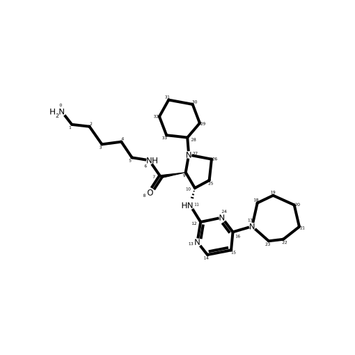 NCCCCCNC(=O)[C@@H]1[C@@H](Nc2nccc(N3CCCCCC3)n2)CCN1C1CCCCC1